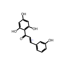 O=C(/C=C/c1cccc(O)c1)c1c(O)cc(O)cc1O